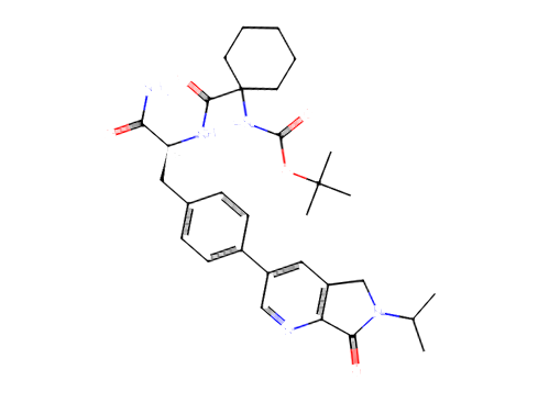 CC(C)N1Cc2cc(-c3ccc(C[C@H](NC(=O)C4(NC(=O)OC(C)(C)C)CCCCC4)C(N)=O)cc3)cnc2C1=O